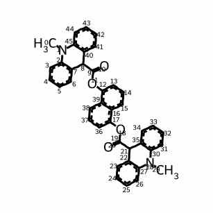 CN1c2ccccc2C(C(=O)Oc2cccc3c(OC(=O)C4c5ccccc5N(C)c5ccccc54)cccc23)c2ccccc21